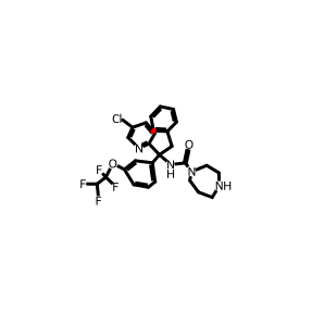 O=C(NC(Cc1ccccc1)(c1cccc(OC(F)(F)C(F)F)c1)c1ccc(Cl)cn1)N1CCCNCC1